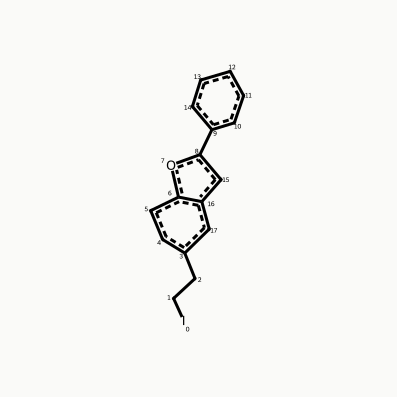 ICCc1ccc2oc(-c3ccccc3)cc2c1